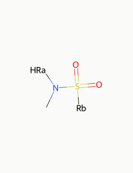 C[N]([RaH])[S](=O)(=O)[Rb]